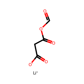 O=COC(=O)CC(=O)[O-].[Li+]